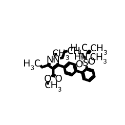 CCC[N+]1(C)N=C(CC)C(C(=O)OC)=C1c1ccc(-c2ccccc2S(=O)(=O)NC(C)(C)C)cc1